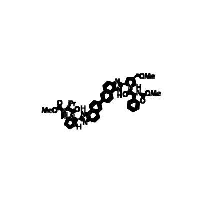 COC[C@H]1C[C@@H](c2nc3ccc4cc(-c5ccc6c(ccc7nc([C@@H]8[C@@H]9CC[C@@H](C9)N8C(=O)C(NC(=O)OC)C(C)C)[nH]c76)c5)ccc4c3[nH]2)N(C(=O)[C@H](NC(=O)OC)c2ccccc2)C1